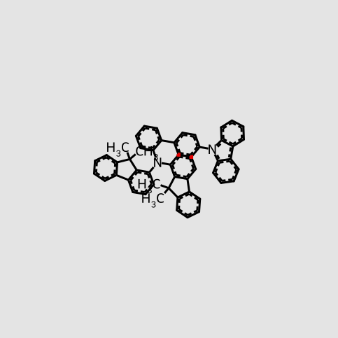 CC1(C)c2ccccc2-c2cccc(N(c3ccccc3-c3ccc(-n4c5ccccc5c5ccccc54)cc3)c3cccc4c3C(C)(C)c3ccccc3-4)c21